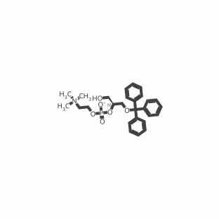 C[N+](C)(C)CCOP(=O)([O-])O[C@@H](CO)COC(c1ccccc1)(c1ccccc1)c1ccccc1